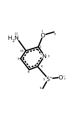 COc1nc([S+](C)[O-])ccc1N